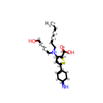 CC=C=C=CCN(C=C=C=CO)c1cc(C2=CCC(=N)CC2)sc1C(=O)O